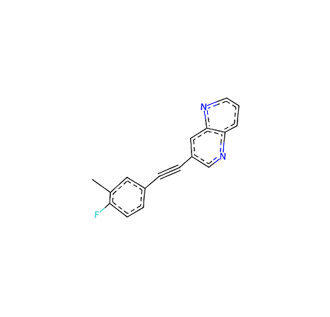 Cc1cc(C#Cc2cnc3cccnc3c2)ccc1F